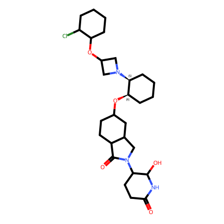 O=C1CCC(N2CC3CC(O[C@@H]4CCCC[C@@H]4N4CC(OC5CCCCC5Cl)C4)CCC3C2=O)C(O)N1